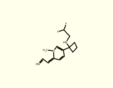 CN1C=C(C2(NCC(F)F)CCC2)C=C/C1=C/C=N